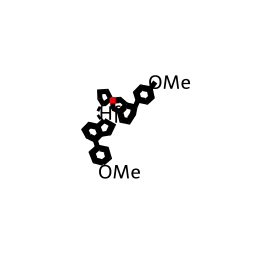 COc1ccc(-c2cccc3c2C=C[CH]3[Hf]([CH3])([CH3])(=[C]2CCCC2)[CH]2C=Cc3c(-c4ccc(OC)cc4)cccc32)cc1